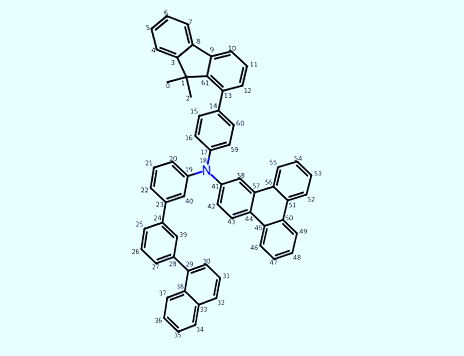 CC1(C)c2ccccc2-c2cccc(-c3ccc(N(c4cccc(-c5cccc(-c6cccc7ccccc67)c5)c4)c4ccc5c6ccccc6c6ccccc6c5c4)cc3)c21